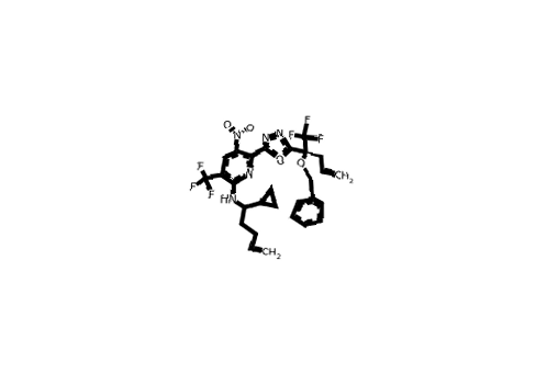 C=CCCC(Nc1nc(-c2nnc([C@@](CC=C)(OCc3ccccc3)C(F)(F)F)o2)c([N+](=O)[O-])cc1C(F)(F)F)C1CC1